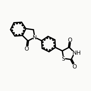 O=C1NC(=O)C(c2ccc(N3Cc4ccccc4C3=O)cc2)S1